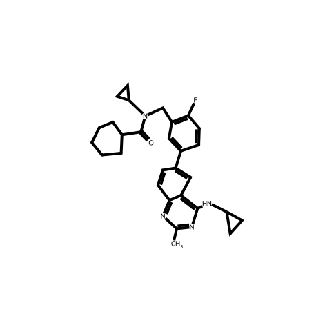 Cc1nc(NC2CC2)c2cc(-c3ccc(F)c(CN(C(=O)C4CCCCC4)C4CC4)c3)ccc2n1